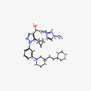 COC(O)c1cnn(-c2cccc(N3CCC[C@H](CCC4CCCCC4)C3)c2)c1[C@@H]1C[C@H]1c1cn(C)nn1